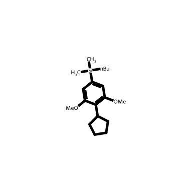 CCCC[Si](C)(C)c1cc(OC)c(C2CCCC2)c(OC)c1